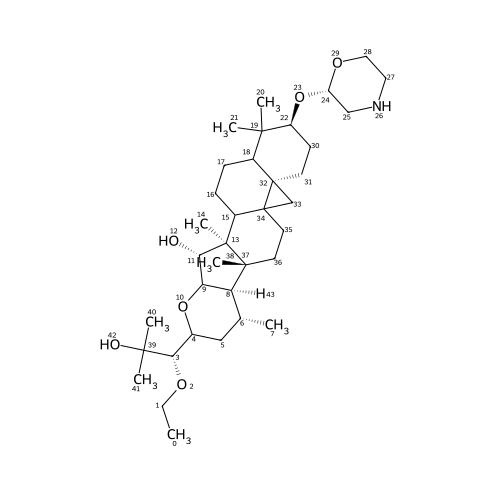 CCO[C@@H](C1C[C@@H](C)[C@H]2C(O1)[C@H](O)[C@@]1(C)C3CCC4C(C)(C)[C@@H](O[C@H]5CNCCO5)CC[C@@]45CC35CC[C@]21C)C(C)(C)O